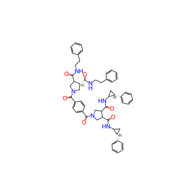 O=C(NC1C[C@@H]1c1ccccc1)C1CN(C(=O)c2ccc(C(=O)N3CC(C(=O)NCCc4ccccc4)[C@H](C(=O)NCCc4ccccc4)C3)cc2)CC1C(=O)NC1C[C@@H]1c1ccccc1